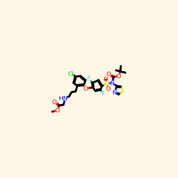 COC(=O)CNCCCc1cc(Cl)ccc1Oc1cc(F)c(S(=O)(=O)N(C(=O)OC(C)(C)C)c2cscn2)cc1F